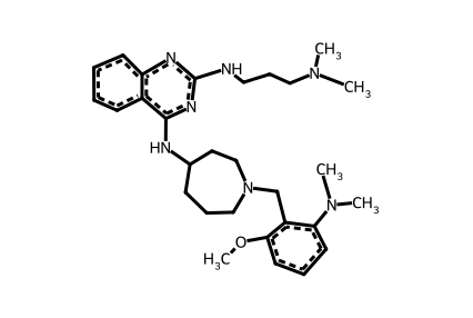 COc1cccc(N(C)C)c1CN1CCCC(Nc2nc(NCCCN(C)C)nc3ccccc23)CC1